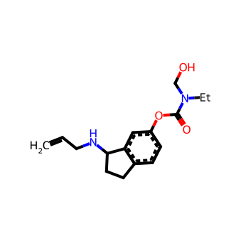 C=CCNC1CCc2ccc(OC(=O)N(CC)CO)cc21